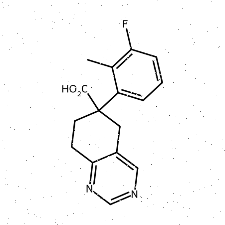 Cc1c(F)cccc1C1(C(=O)O)CCc2ncncc2C1